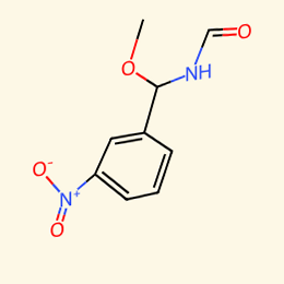 COC(NC=O)c1cccc([N+](=O)[O-])c1